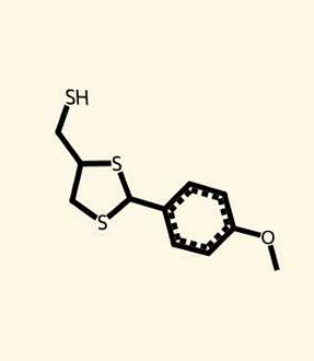 COc1ccc(C2SCC(CS)S2)cc1